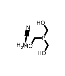 N#CN.OCP(CO)CO